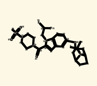 CC(C)N1C2CCC1CC(Oc1ccc3c(c1)cc(C(=O)N1CCN(S(C)(=O)=O)CC1)n3CC(F)F)C2